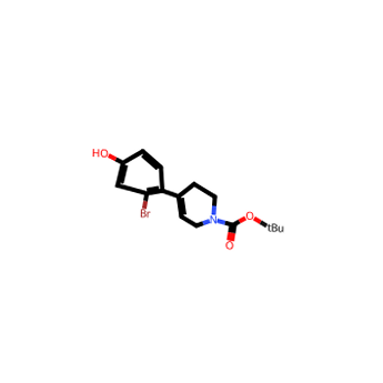 CC(C)(C)OC(=O)N1CC=C(c2ccc(O)cc2Br)CC1